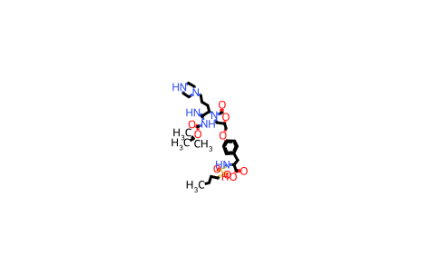 CCCCS(=O)(=O)NC(Cc1ccc(OCC2CN(C(CCCN3CCNCC3)C(=N)NC(=O)OC(C)(C)C)C(=O)O2)cc1)C(=O)O